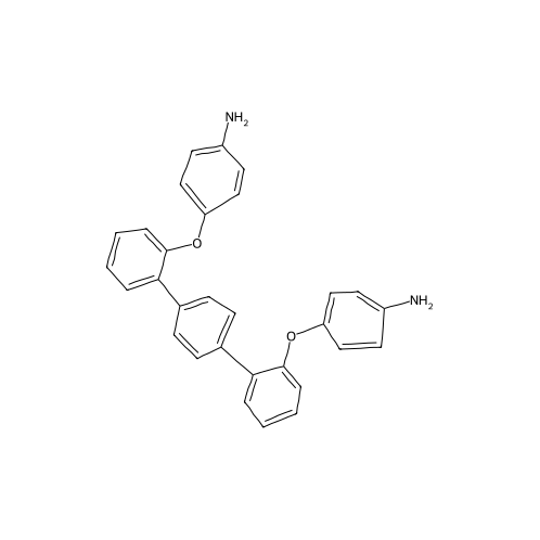 Nc1ccc(Oc2ccccc2-c2ccc(-c3ccccc3Oc3ccc(N)cc3)cc2)cc1